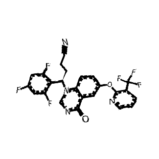 N#CCC[C@H](c1c(F)cc(F)cc1F)n1cnc(=O)c2cc(Oc3ncccc3C(F)(F)F)ccc21